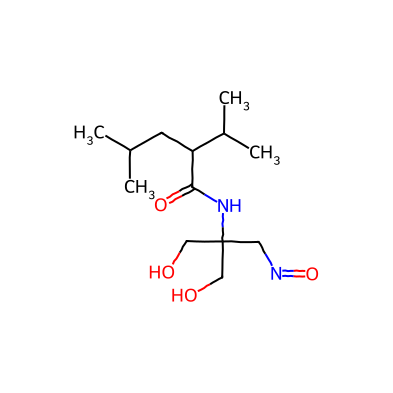 CC(C)CC(C(=O)NC(CO)(CO)CN=O)C(C)C